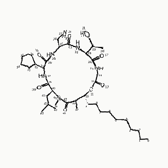 CCCCCCCCCC[C@H]1OC(=O)CNC(=O)[C@H]([C@H](C)O)NC(=O)[C@H](CN)NC(=O)C(C2CCCC2)NC(=O)[C@H](CC(C)C)N(C)C(=O)[C@@H]1C